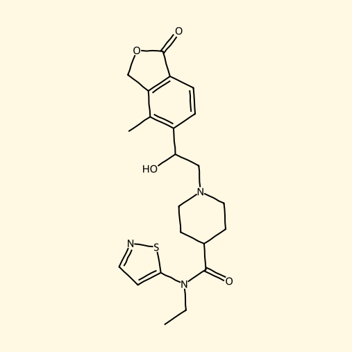 CCN(C(=O)C1CCN(CC(O)c2ccc3c(c2C)COC3=O)CC1)c1ccns1